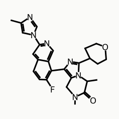 Cc1cn(-c2cc3ccc(F)c(-c4nc(C5CCOCC5)n5c4CN(C)C(=O)C5C)c3cn2)cn1